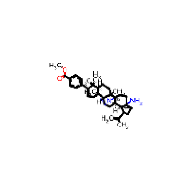 C=C(C)C1CCC2(N)CC[C@]3(N)[C@H](CC[C@@H]4[C@@]5(C)CC=C(c6ccc(C(=O)OC)cc6)C(C)(C)[C@@H]5CC[C@]43C)[C@@H]12